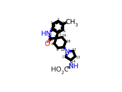 Cc1ccc2c(c1)C1(CCC(N3CC[C@H](NC(=O)O)C3)CC1)C(=O)N2